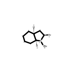 CC(=O)[C@@H]1C[C@@H]2CCCC[C@@H]2N1C(C)(C)C